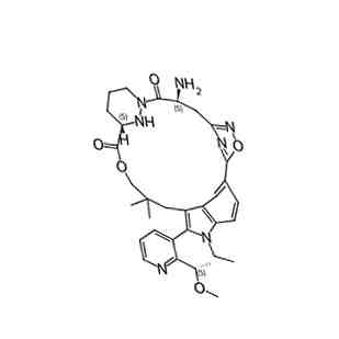 CCn1c(-c2cccnc2[C@H](C)OC)c2c3cc(ccc31)-c1nc(no1)C[C@H](N)C(=O)N1CCC[C@H](N1)C(=O)OCC(C)(C)C2